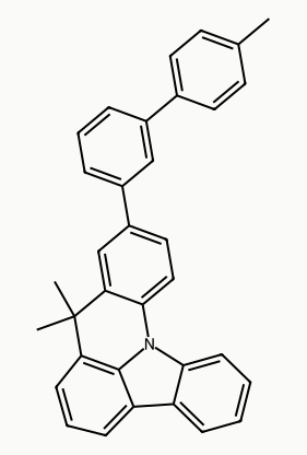 Cc1ccc(-c2cccc(-c3ccc4c(c3)C(C)(C)c3cccc5c6ccccc6n-4c35)c2)cc1